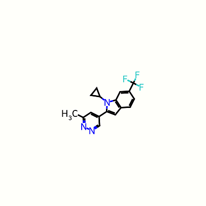 Cc1cc(-c2cc3ccc(C(F)(F)F)cc3n2C2CC2)cnn1